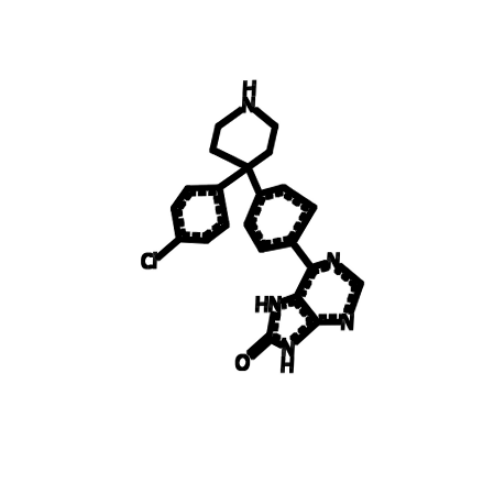 O=c1[nH]c2ncnc(-c3ccc(C4(c5ccc(Cl)cc5)CCNCC4)cc3)c2[nH]1